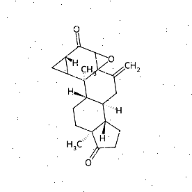 C=C1C[C@H]2[C@@H]3CCC(=O)[C@@]3(C)CC[C@@H]2[C@@]2(C)C3C[C@@H]3C(=O)C3OC132